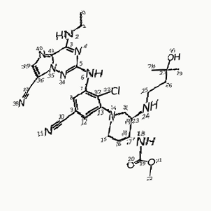 CCNc1nc(Nc2cc(C#N)cc(N3CC[C@@H](NC(=O)OC)[C@H](NCCC(C)(C)O)C3)c2Cl)nn2c(C#N)cnc12